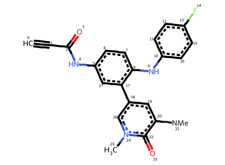 C#CC(=O)Nc1ccc(Nc2ccc(F)cc2)c(-c2cc(NC)c(=O)n(C)c2)c1